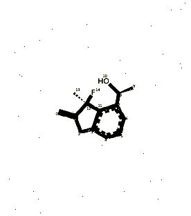 C=C1Cc2cccc([C@H](C)O)c2[C@]1(C)F